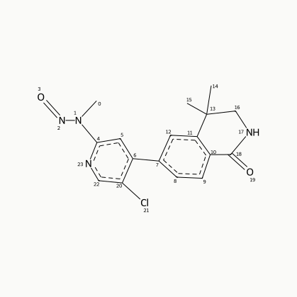 CN(N=O)c1cc(-c2ccc3c(c2)C(C)(C)CNC3=O)c(Cl)cn1